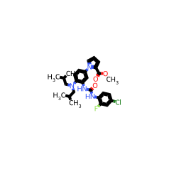 COC(=O)c1cccn1-c1ccc(N(CC(C)C)CC(C)C)c(NC(=O)Nc2ccc(Cl)cc2F)c1